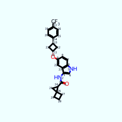 O=C(Nc1c[nH]c2ccc(O[C@H]3C[C@H](c4ccc(C(F)(F)F)cc4)C3)cc12)C1CC12CCC2